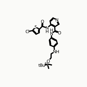 CC(C)(C)[Si](C)(C)OCCNc1ccc(NC(=O)c2cnccc2NC(=O)c2ccc(Cl)s2)cc1